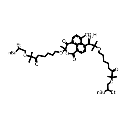 CCCCC(CC)COC(C)(C)C(=O)CCCCCOC(C)(C)C(=O)c1ccc2c3c(ccc(C(=O)O)c13)C(=O)C(C)(OCCCCCC(=O)C(C)(C)OCC(CC)CCCC)OC2=O